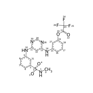 CNS(=O)(=O)c1cccc(Nc2cc(Nc3cccc(OC(=O)C(F)(F)F)c3)ncn2)c1